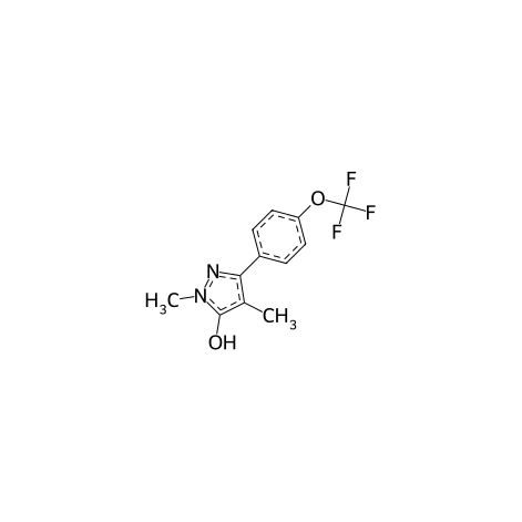 Cc1c(-c2ccc(OC(F)(F)F)cc2)nn(C)c1O